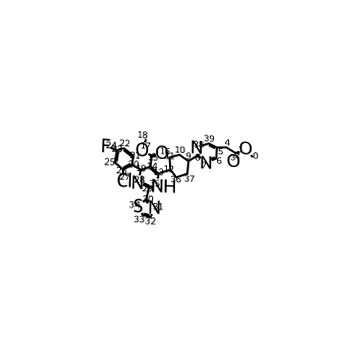 COC(=O)Cc1cnc(C2CCC(C3=C(C(=O)OC)C(c4ccc(F)cc4Cl)N=C(c4nccs4)N3)CC2)nc1